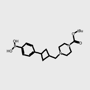 CC(C)(C)OC(=O)N1CCN(CC2CC(c3ccc(B(O)O)cc3)C2)CC1